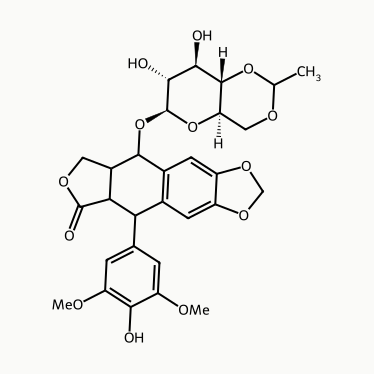 COc1cc(C2c3cc4c(cc3C(O[C@@H]3O[C@@H]5COC(C)O[C@H]5[C@H](O)[C@H]3O)C3COC(=O)C23)OCO4)cc(OC)c1O